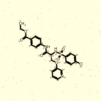 CCOC(=O)c1ccc(NC(=O)[C@H](COc2cccnc2)NS(=O)(=O)c2ccc(Cl)cc2)cc1